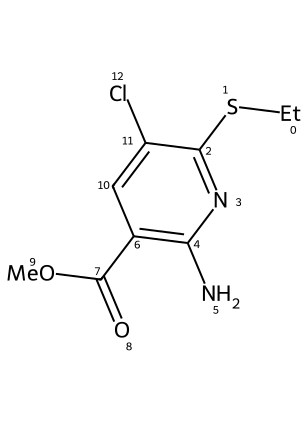 CCSc1nc(N)c(C(=O)OC)cc1Cl